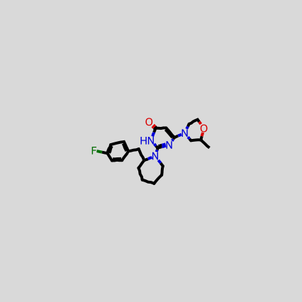 CC1CN(c2cc(=O)[nH]c(N3CCCCCC3Cc3ccc(F)cc3)n2)CCO1